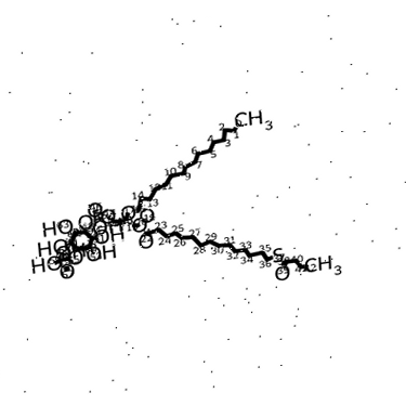 CCCCCCCCCCCCCCCC(=O)O[C@H](COC(=O)CCCCCCCCCCCCCCSC(=O)CCC)COP(=O)(O)OC1C(O)[C@@H](O)C(OP(=O)(O)O)[C@@H](O)[C@H]1O